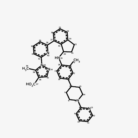 Cc1cc(C2CCN(c3ccccn3)CC2)ccc1NC1CCc2cccc(-c3cccc(-n4ncc(C(=O)O)c4C)n3)c21